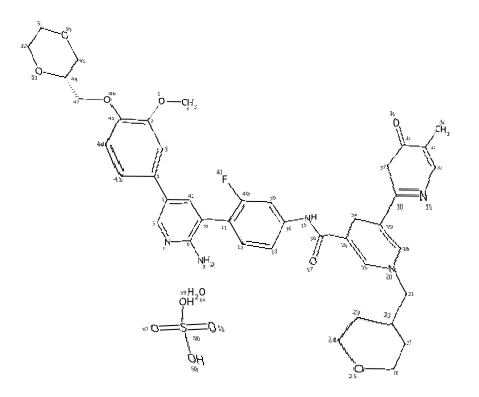 COc1cc(-c2cnc(N)c(-c3ccc(NC(=O)C4=CN(CC5CCOCC5)C=C(C5=NC=C(C)C(=O)C5)C4)cc3F)c2)ccc1OC[C@H]1COCCO1.O.O=S(=O)(O)O